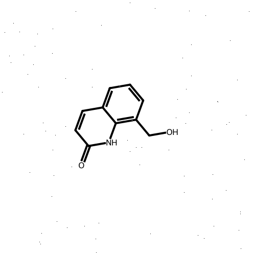 O=c1ccc2cccc(CO)c2[nH]1